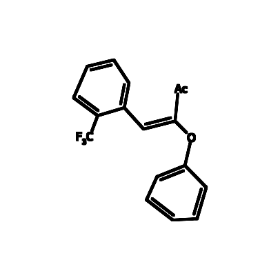 CC(=O)/C(=C\c1ccccc1C(F)(F)F)Oc1ccccc1